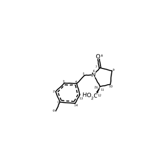 Cc1ccc(CN2C(=O)CC[C@H]2C(=O)O)cc1